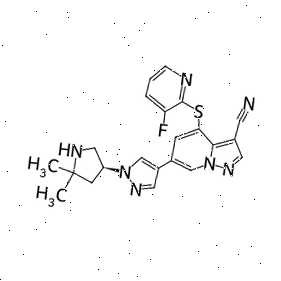 CC1(C)C[C@H](n2cc(-c3cc(Sc4ncccc4F)c4c(C#N)cnn4c3)cn2)CN1